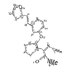 CNC(=O)/C(=N\OC)c1ccccc1Oc1cccc(/C=C/c2ccco2)c1